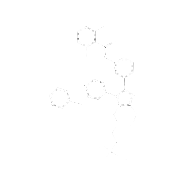 CSc1nc(-c2cccc(NC(=O)c3c(F)cccc3F)c2)c(-c2ccnc(Nc3ccccc3)c2)n1COCC[Si](C)(C)C